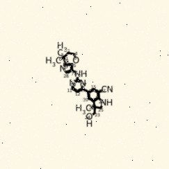 CC1(C)CCOc2c(Nc3nccc(-c4cc(C#N)c5c(c4)[C@@](C)(CO)CN5)n3)cnn21